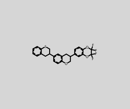 FC1(F)Oc2ccc(C3COc4ccc(C5CSc6ccccc6C5)cc4C3)cc2OC1(F)F